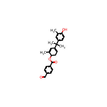 CC1=CC(C(C)(C)c2ccc(O)c(C)c2)=CCC1OC(=O)c1ccc(C=O)cc1